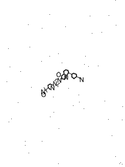 COc1c(N2CCN(c3ccc(C(C)(C)N=O)cn3)C(C)C2)cnc2c(-c3ccc(C#N)cc3)cccc12